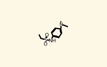 CCS(=O)(=O)Nc1ccc(N(C)C)cc1